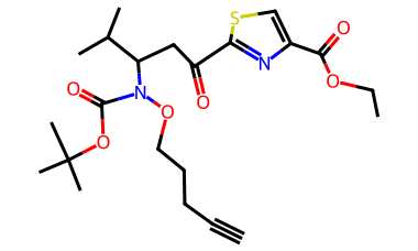 C#CCCCON(C(=O)OC(C)(C)C)C(CC(=O)c1nc(C(=O)OCC)cs1)C(C)C